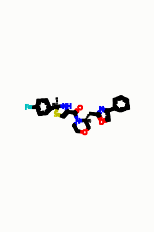 C[C@]1(c2ccc(F)cc2)NC(C(=O)N2CCOC[C@H]2Cc2nc(-c3ccccc3)co2)=CS1